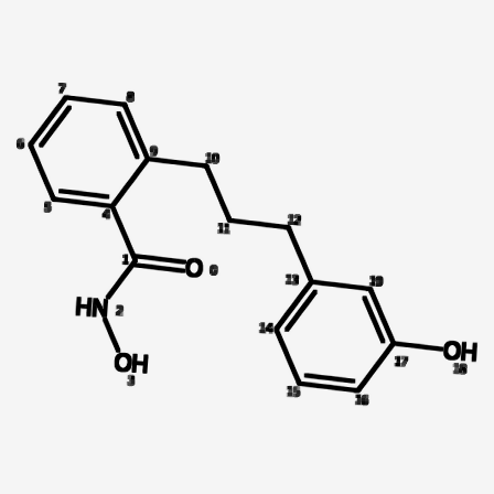 O=C(NO)c1ccccc1CCCc1cccc(O)c1